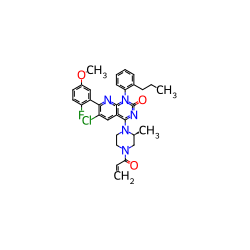 C=CC(=O)N1CCN(c2nc(=O)n(-c3ccccc3CCC)c3nc(-c4cc(OC)ccc4F)c(Cl)cc23)[C@@H](C)C1